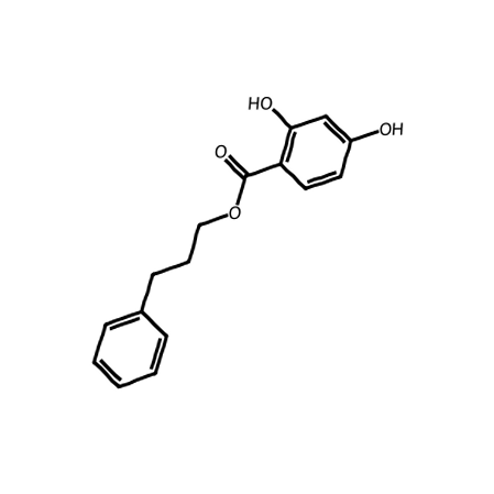 O=C(OCCCc1ccccc1)c1ccc(O)cc1O